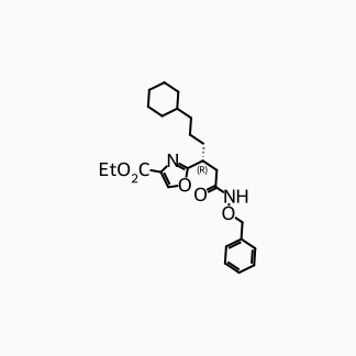 CCOC(=O)c1coc([C@H](CCCC2CCCCC2)CC(=O)NOCc2ccccc2)n1